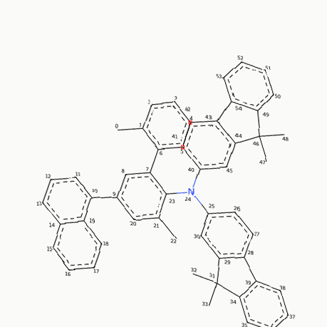 Cc1ccccc1-c1cc(-c2cccc3ccccc23)cc(C)c1N(c1ccc2c(c1)C(C)(C)c1ccccc1-2)c1ccc2c(c1)C(C)(C)c1ccccc1-2